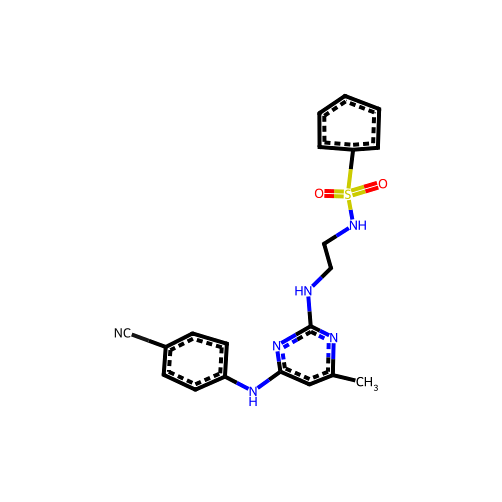 Cc1cc(Nc2ccc(C#N)cc2)nc(NCCNS(=O)(=O)c2ccccc2)n1